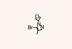 Cc1cnn(C2COC2)c1Br